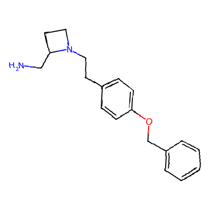 NCC1CCN1CCc1ccc(OCc2ccccc2)cc1